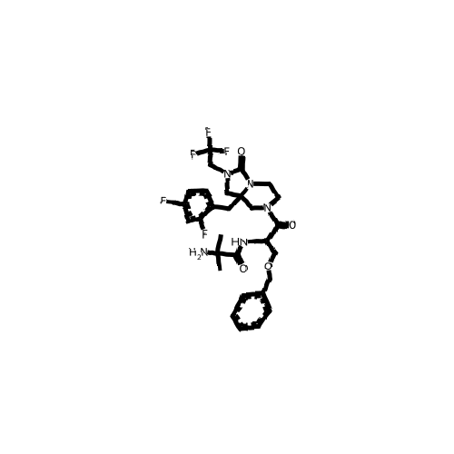 CC(C)(N)C(=O)NC(COCc1ccccc1)C(=O)N1CCN2C(=O)N(CC(F)(F)F)CC2(Cc2ccc(F)cc2F)C1